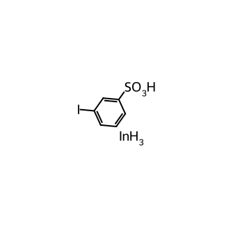 O=S(=O)(O)c1cccc(I)c1.[InH3]